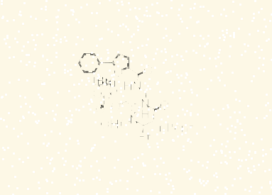 CCCCC[C@@H](C(=O)NCNC(=O)c1ccc(-c2ccccc2)o1)[C@@H](CC)N(C=O)OCOP(=O)(OC(C)(C)C)OC(C)(C)C